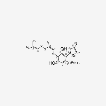 CCCCCc1cc(O)c(CC=C(C)CCC=C(C)C)c(O)c1-c1cc(C)cs1